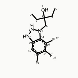 CCC(O)(CC)CN1NNc2cc(C)c(F)c(F)c21